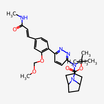 CNC(=O)/C=C/c1ccc(-c2ccc(N(C)C3CC4CCC(C3)N4C(=O)OC(C)(C)C)nn2)c(OCOC)c1